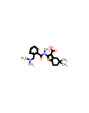 CN(C)Cc1ccccc1C(=O)N(C)c1sc2c(c1C(=O)O)CC(C)(C)CC2